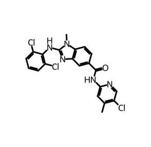 Cc1cc(NC(=O)c2ccc3c(c2)nc(Nc2c(Cl)cccc2Cl)n3C)ncc1Cl